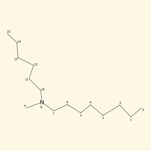 CCCCCCCCN(C)CCCCCC